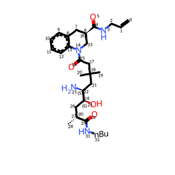 C=CCNC(=O)[C@@H]1Cc2ccccc2N(C(=O)CC(C)(C)C[C@H](N)[C@@H](O)C[C@@H](C)C(=O)NCCCC)C1